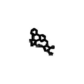 CCCCc1cn(C(C)C)c(=O)n1Cc1ccc(-c2ccccc2)c(-c2nnn[nH]2)c1